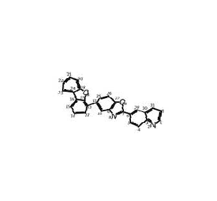 c1cnc2ccc(-c3nc4cc(-c5cccc6c5oc5ccccc56)ccc4o3)cc2c1